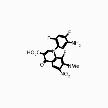 CNc1c([N+](=O)[O-])cc2c(=O)c(C(=O)O)cn(-c3cc(N)c(F)cc3F)c2c1F